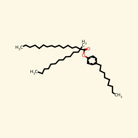 CCCCCCCCCCCCCCC(C)(CCCCCCCCCCCC)C(=O)Oc1ccc(CCCCCCCCC)cc1